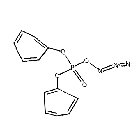 [N-]=[N+]=NOP(=O)(Oc1ccccc1)Oc1ccccc1